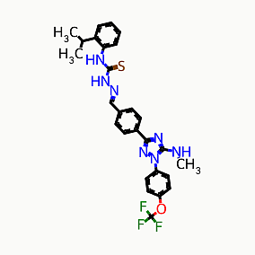 CNc1nc(-c2ccc(C=NNC(=S)Nc3ccccc3C(C)C)cc2)nn1-c1ccc(OC(F)(F)F)cc1